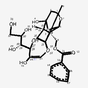 CC12CC3(O)OC(O1)[C@]1(COC(=O)c4ccccc4)[C@@H]3CC21O/C=C(/O)C(O)[C@H](O)C(O)CO